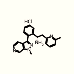 Cc1cccc(C[C@H](N)c2ccccc2-c2nn(C)c3cnccc23)n1.Cl